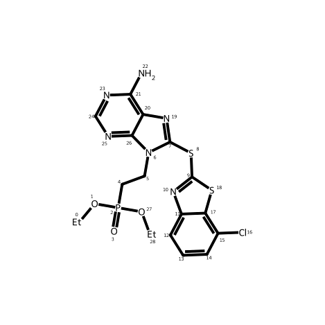 CCOP(=O)(CCn1c(Sc2nc3cccc(Cl)c3s2)nc2c(N)ncnc21)OCC